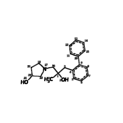 CC(O)(Cc1ccccc1-c1ccccc1)CN1CCC(O)C1